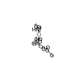 COCCCOC(=O)c1cc2cc(NC(=O)[C@@H]3[C@H](C4CCCCC4)CCN3C(=O)[C@H]3CC[C@H]([C@@H](CF)NC(=O)OC(C)(C)C)CC3)ccc2o1